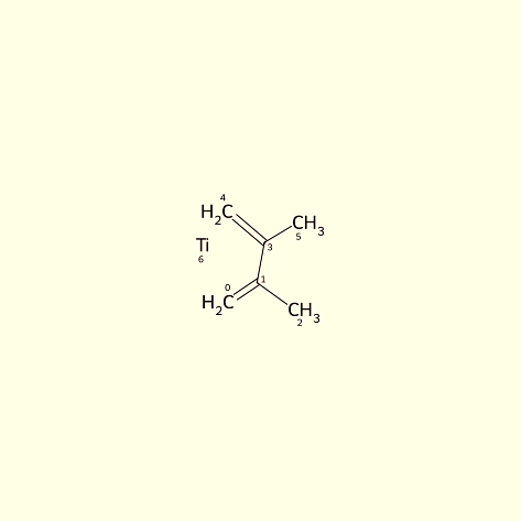 C=C(C)C(=C)C.[Ti]